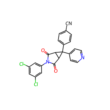 N#Cc1ccc(C2(c3ccncc3)C3C(=O)N(c4cc(Cl)cc(Cl)c4)C(=O)C32)cc1